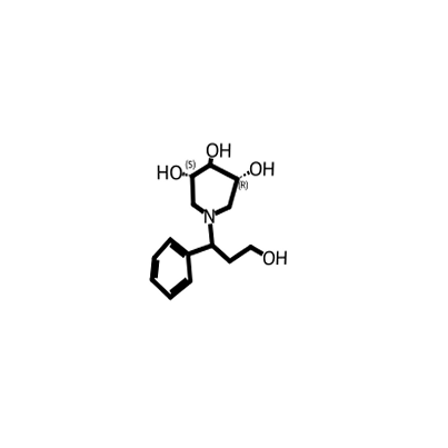 OCCC(c1ccccc1)N1C[C@@H](O)C(O)[C@@H](O)C1